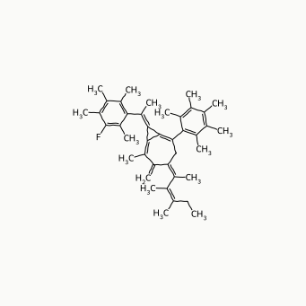 C=C1C(C)=C2C(=C(c3c(C)c(C)c(C)c(C)c3C)C/C1=C(C)/C(C)=C(/C)CC)/C2=C(\C)c1c(C)c(C)c(C)c(F)c1C